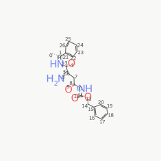 C[C@@H](NC(=O)[C@@H](N)CC(=O)NC(=O)OCc1ccccc1)c1ccccc1